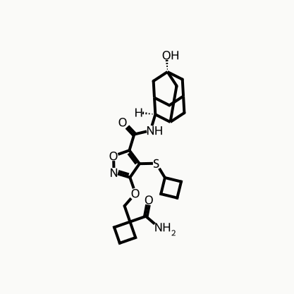 NC(=O)C1(COc2noc(C(=O)N[C@H]3C4CC5CC3C[C@](O)(C5)C4)c2SC2CCC2)CCC1